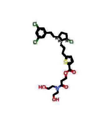 O=C(OCCC(=O)N(CCO)CCO)c1ccc(CCC[C@@H]2[C@@H](CCc3cc(Cl)cc(Cl)c3)CC[C@H]2Cl)s1